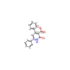 O=c1[nH]c(-c2ccccc2)cc2c1c(=O)oc1ccccc12